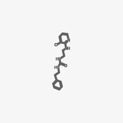 O=C(NCCNc1ncccc1Cl)NCCc1ccccc1